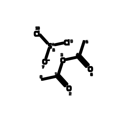 CC(=O)OC(C)=O.[O-][S+](Cl)Cl